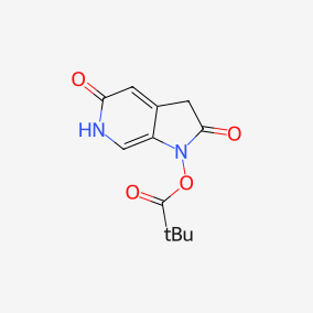 CC(C)(C)C(=O)ON1C(=O)Cc2cc(=O)[nH]cc21